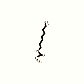 CC(C)(C)OC(=O)NCCCCCCCN